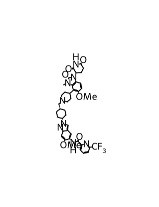 COc1cc2nn([C@H]3CC[C@H](CN4CCC(c5c(OC)ccc6c5n(C)c(=O)n6C5CCC(=O)NC5=O)CC4)CC3)cc2cc1NC(=O)c1cccc(C(F)(F)F)n1